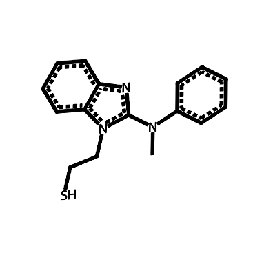 CN(c1ccccc1)c1nc2ccccc2n1CCS